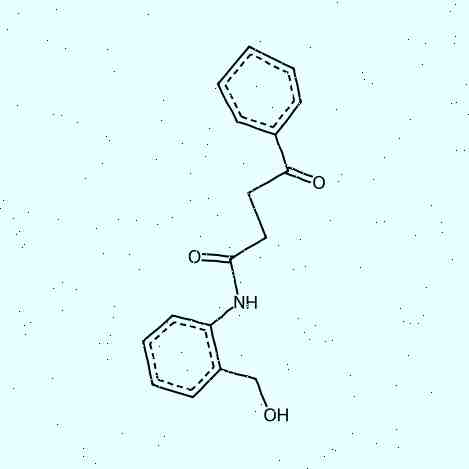 O=C(CCC(=O)c1ccccc1)Nc1ccccc1CO